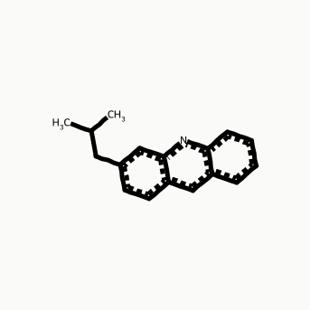 CC(C)Cc1ccc2cc3ccccc3nc2c1